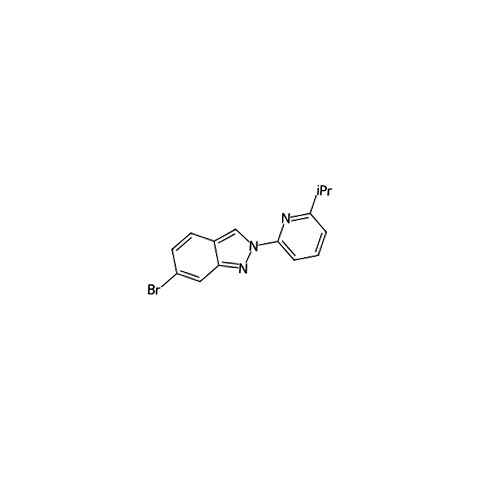 CC(C)c1cccc(-n2cc3ccc(Br)cc3n2)n1